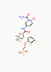 C[C@H]1[C@@H](c2ccc(F)c(F)c2OCCS(C)(=O)=O)[C@H](C(=O)Nc2cc[n+]([O-])c(C(N)=O)c2)O[C@@]1(C)C(F)(F)F